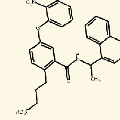 CC(NC(=O)c1cc(Oc2ccccc2[N+](=O)[O-])ccc1CCCC(=O)O)c1cccc2ccccc12